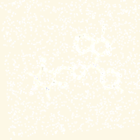 Cc1ccc(N(c2ccc(C=C3C(=O)N(C)C(=S)N(C)C3=O)s2)c2ccc(Cl)c3ccccc23)cc1